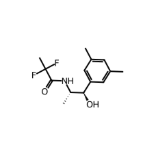 Cc1cc(C)cc([C@@H](O)[C@H](C)NC(=O)C(C)(F)F)c1